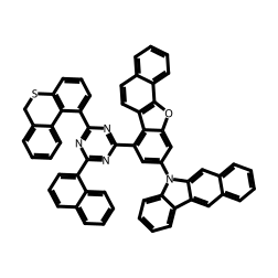 c1ccc2c(c1)CSc1cccc(-c3nc(-c4cccc5ccccc45)nc(-c4cc(-n5c6ccccc6c6cc7ccccc7cc65)cc5oc6c7ccccc7ccc6c45)n3)c1-2